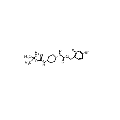 CC(C)(C)OC(=O)N[C@H]1CC[C@H](NC(=O)OCc2ccc(Br)cc2F)CC1